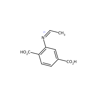 C/C=N\c1cc(C(=O)O)ccc1C(=O)O